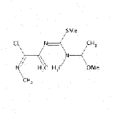 C=C(/N=C(/SC)N(C)C(C)OC)/C(Cl)=N\C